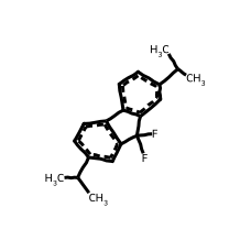 CC(C)c1ccc2c(c1)C(F)(F)c1cc(C(C)C)ccc1-2